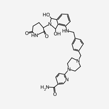 NC(=O)c1ccc(N2CCN(Cc3ccc(CNc4cccc5c4C(O)N(C4CCC(=O)NC4=O)C5O)cc3)CC2)nc1